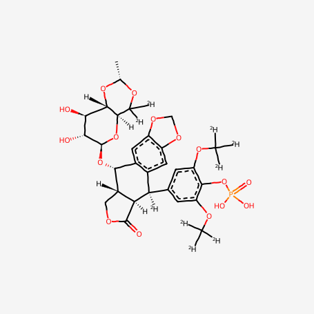 [2H]C([2H])([2H])Oc1cc([C@]2([2H])c3cc4c(cc3[C@@H](O[C@@H]3O[C@H]5[C@@H](O[C@H](C)OC5([2H])[2H])[C@H](O)[C@H]3O)[C@H]3COC(=O)[C@@H]32)OCO4)cc(OC([2H])([2H])[2H])c1OP(=O)(O)O